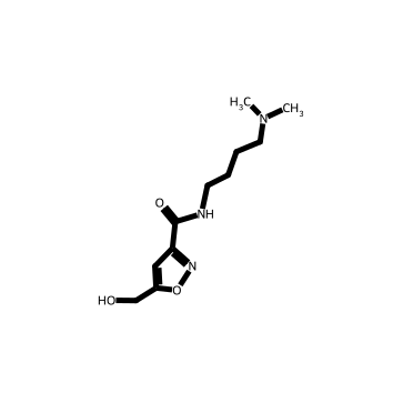 CN(C)CCCCNC(=O)c1cc(CO)on1